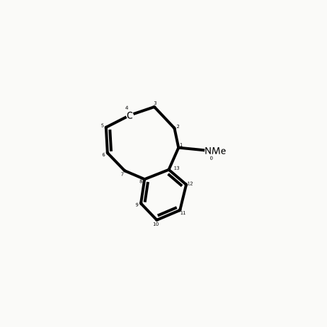 CNC1CCC/C=C\Cc2ccccc21